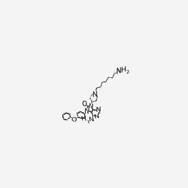 NCCCCCCCN1CCC(n2c(=O)n(-c3ccc(Oc4ccccc4)cc3)c3c(N)ncnc32)CC1